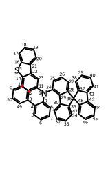 c1ccc(-c2ccccc2N(c2ccc3sc4ccccc4c3c2)c2cccc3c2-c2ccccc2C32c3ccccc3-c3ccccc32)cc1